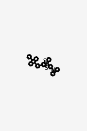 c1ccc(-c2c3ccccc3c(-c3cccc(-c4cc5c6c(c4)Sc4cc(-n7c8ccccc8c8ccccc87)ccc4B6c4ccccc4S5)c3)c3ccccc23)cc1